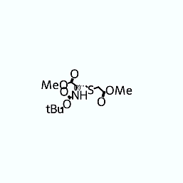 COC(=O)CSC[C@H](NC(=O)OC(C)(C)C)C(=O)OC